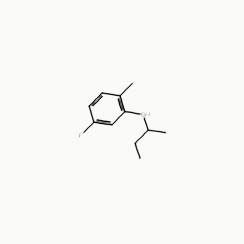 CCC(C)Bc1cc(F)ccc1C